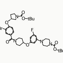 CC(C)(C)OC(=O)N1CCN(c2cc(F)cc(OC3CCN(C(=O)c4ccc(O[C@H]5CCN(C(=O)OC(C)(C)C)C5)c(Br)c4)CC3)c2)CC1